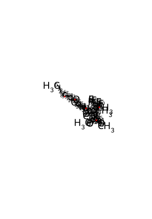 CCCCC[C@H]1CC[C@H]([C@H]2CC[C@H](C(=O)Oc3ccc(N4CCN(c5cc6c7c(c8c(c6cc5OC)OC(c5ccc(OC)cc5)(c5ccc(OC)cc5)C=C8)C(C)(C)c5c-7cc(C(F)(F)F)cc5C(F)(F)F)CC4)cc3)CC2)CC1